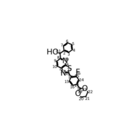 OC(c1ccccc1)c1ccc2nc(-c3ccc(C4OCCCO4)cc3F)sc2n1